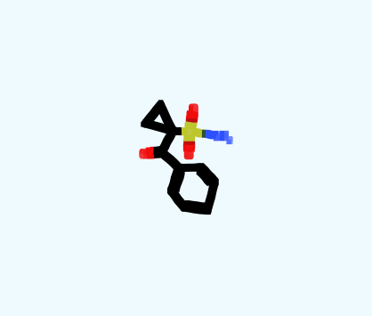 NS(=O)(=O)C1(C(=O)c2ccccc2)CC1